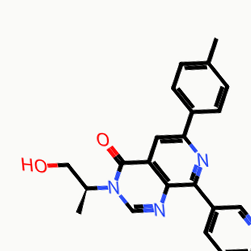 Cc1ccc(-c2cc3c(=O)n([C@@H](C)CO)cnc3c(-c3cccnc3)n2)cc1